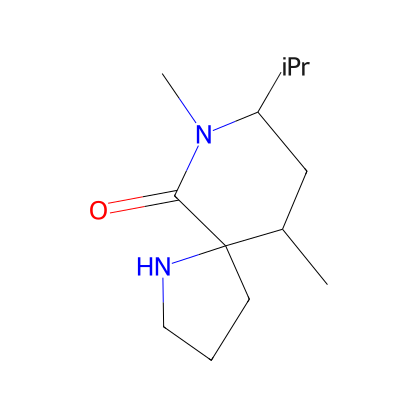 CC(C)C1CC(C)C2(CCCN2)C(=O)N1C